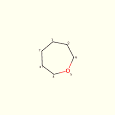 [CH]1CC[CH]COC1